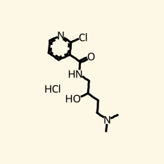 CN(C)CCC(O)CNC(=O)c1cccnc1Cl.Cl